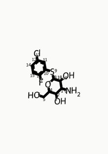 NC1C(O)C(CO)OC(Sc2cc(Cl)ccc2F)C1O